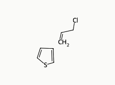 C=CCCl.c1ccsc1